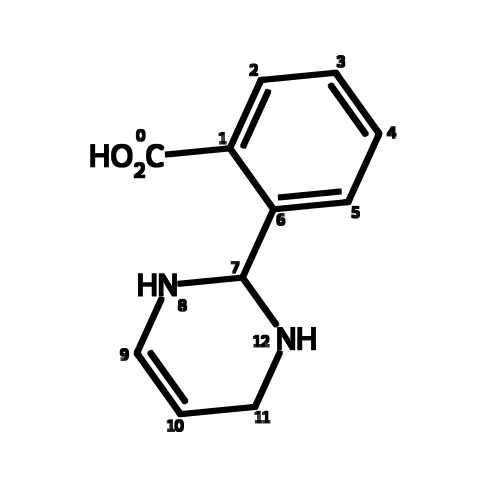 O=C(O)c1ccccc1C1NC=CCN1